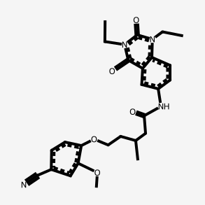 CCn1c(=O)c2cc(NC(=O)CC(C)CCOc3ccc(C#N)cc3OC)ccc2n(CC)c1=O